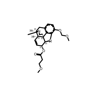 COCCC(=O)O[C@H]1C=C[C@H]2[C@H]3Cc4ccc(OCOC)c5c4[C@@]2(CCN3C)[C@H]1O5